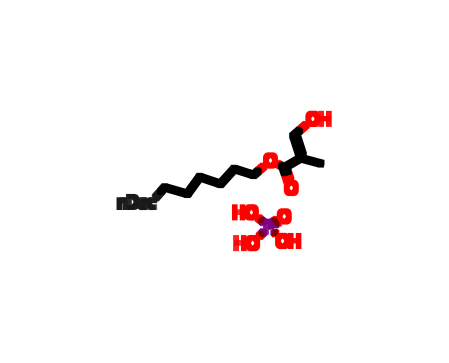 CCCCCCCCCCCCCCCCOC(=O)C(C)=CO.O=P(O)(O)O